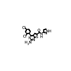 Nc1nc(-c2ccc(Cl)cc2Cl)c2cc(C(=O)Nc3cc[nH]n3)sc2n1